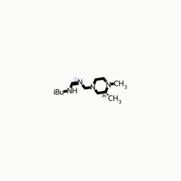 CCC(C)N/C=N\CN1CCN(C)[C@H](C)C1